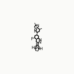 Cc1cn2nc(-c3cc(F)c4cc([C@@H]5C[C@H]6CC[C@@H](C5)N6)nnc4c3)cc(C)c2n1